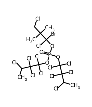 CC(Cl)C(Cl)(Cl)C(Cl)(Cl)OP(=O)(OC(Cl)(Cl)C(Cl)(Cl)C(C)Cl)OC(Cl)(Br)C(C)(C)CCl